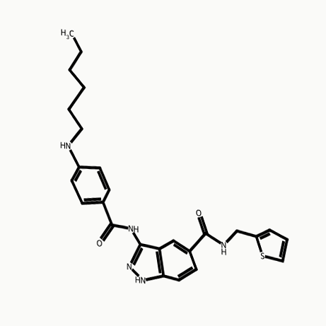 CCCCCCNc1ccc(C(=O)Nc2n[nH]c3ccc(C(=O)NCc4cccs4)cc23)cc1